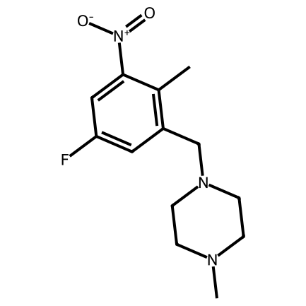 Cc1c(CN2CCN(C)CC2)cc(F)cc1[N+](=O)[O-]